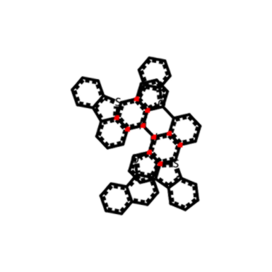 c1ccc(N(c2cccc3c2oc2ccccc23)c2cccc3c2sc2ccccc23)c(-c2ccccc2N(c2cccc3c2oc2c4ccccc4ccc32)c2cccc3c2sc2ccccc23)c1